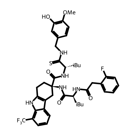 CCC(C)[C@H](NC(=O)Cc1ccccc1F)C(=O)N[C@]1(C(=O)N[C@H](C(=S)NCc2ccc(OC)c(O)c2)C(C)CC)CCc2[nH]c3c(C(F)(F)F)cccc3c2C1